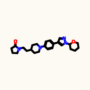 O=C1CCCN1CCC1CCN(c2ccc(-c3cnn(C4CCCCO4)c3)cc2)CC1